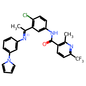 C/C(=N\c1cccc(-n2cccc2)c1)c1cc(NC(=O)c2ccc(C(F)(F)F)nc2C)ccc1Cl